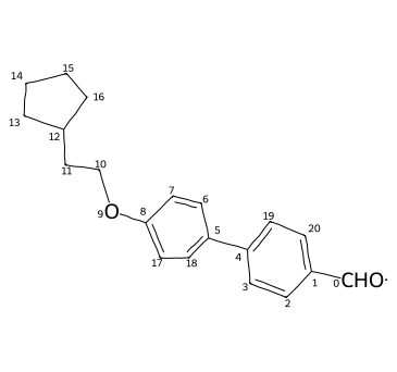 O=[C]c1ccc(-c2ccc(OCCC3CCCC3)cc2)cc1